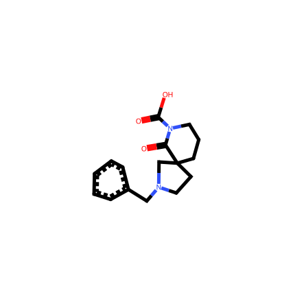 O=C(O)N1CCCC2(CCN(Cc3ccccc3)C2)C1=O